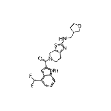 O=C(c1cc2c(C(F)F)cccc2[nH]1)N1CCc2nc(NCC3CCOC3)sc2C1